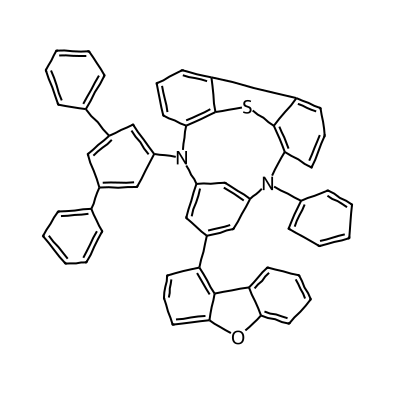 c1ccc(-c2cc(-c3ccccc3)cc(N3c4cc(-c5cccc6oc7ccccc7c56)cc(c4)N(c4ccccc4)c4cccc5c4sc4c3cccc45)c2)cc1